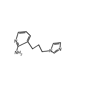 Nc1ncccc1CCCn1ccnc1